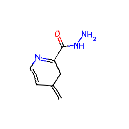 C=C1C=CN=C(C(=O)NN)C1